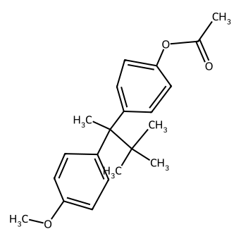 COc1ccc(C(C)(c2ccc(OC(C)=O)cc2)C(C)(C)C)cc1